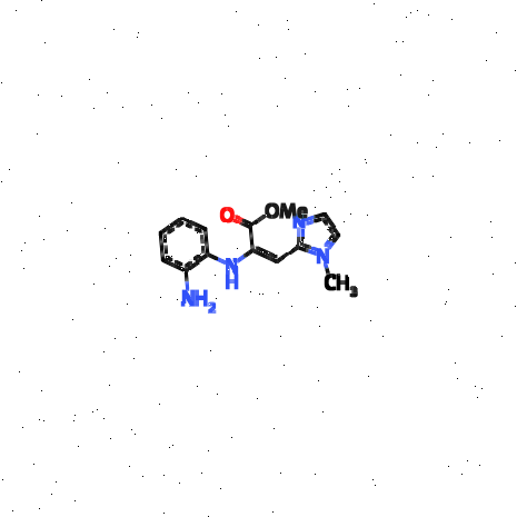 COC(=O)/C(=C\c1nccn1C)Nc1ccccc1N